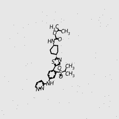 CC(C)OC(=O)N[C@H]1CC[C@H](c2ncc(-c3ccc(Nc4cccnn4)cc3S(=O)(=O)C(C)C)s2)CC1